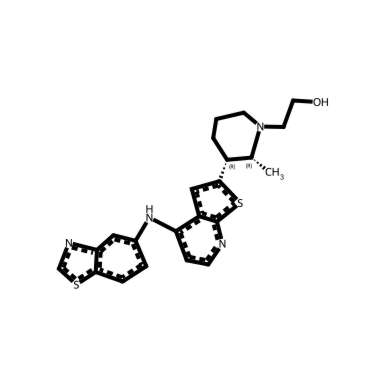 C[C@@H]1[C@H](c2cc3c(Nc4ccc5scnc5c4)ccnc3s2)CCCN1CCO